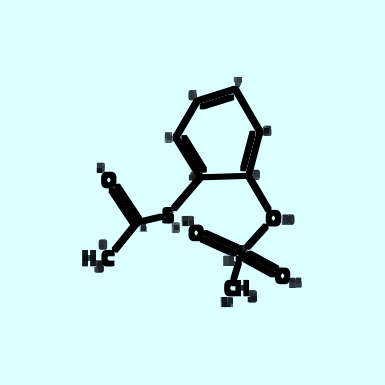 CC(=O)Sc1ccccc1OS(C)(=O)=O